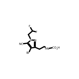 N#Cc1c(Br)c(CCNC(=O)O)nn1CC(F)F